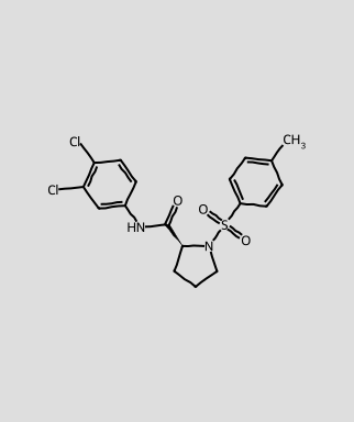 Cc1ccc(S(=O)(=O)N2CCC[C@H]2C(=O)Nc2ccc(Cl)c(Cl)c2)cc1